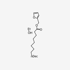 CCCCCCCCCCCCCCCCCC(=O)OCc1ccco1.CCO